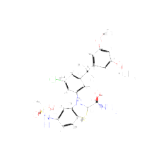 CC(C)Oc1cc(OC(F)(F)F)cc(C(C)(C)c2cc(Cl)cc(N3c4cc(NS(C)(=O)=O)ccc4SC3C(N)=O)c2)c1